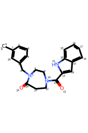 Cc1cccc(CN2CCN(C(=O)c3cc4ccccc4[nH]3)CCC2=O)c1